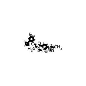 Cc1cn(-c2ccc3n(c2=O)CCN([C@@H](C)COc2ccc(F)cc2C24CC(C2)C4)C3=O)cn1